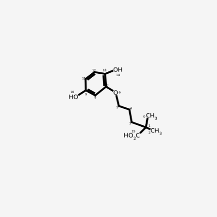 CC(C)(CCCOc1cc(O)ccc1O)C(=O)O